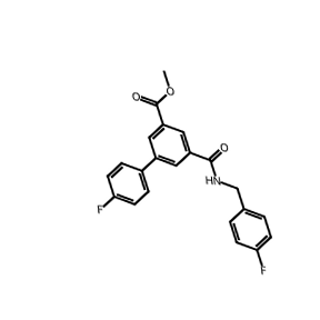 COC(=O)c1cc(C(=O)NCc2ccc(F)cc2)cc(-c2ccc(F)cc2)c1